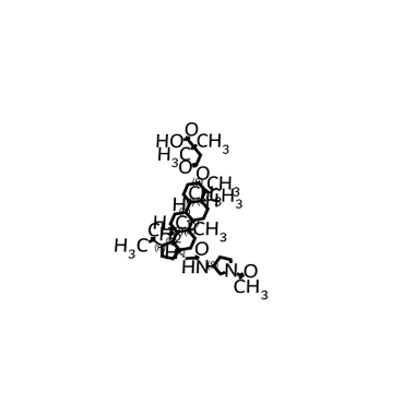 C=C(C)[C@@H]1CC[C@]2(CC(=O)N[C@H]3CCN(C(C)=O)C3)CC[C@]3(C)[C@H](CC[C@@H]4[C@@]5(C)CC[C@H](OC(=O)CC(C)(C)C(=O)O)C(C)(C)[C@@H]5CC[C@]43C)[C@@H]12